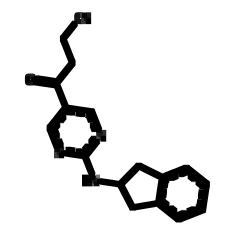 N#CCCC(=O)c1cnc(NC2Cc3ccccc3C2)nc1